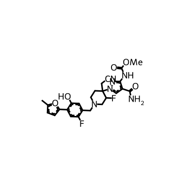 COC(=O)Nc1nn(C2(CC#N)CCN(Cc3cc(O)c(-c4ccc(C)o4)cc3F)CC2F)cc1C(N)=O